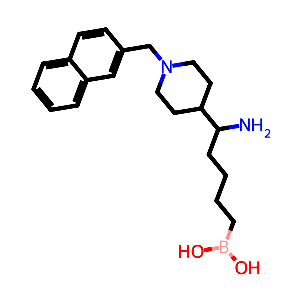 NC(CCCCB(O)O)C1CCN(Cc2ccc3ccccc3c2)CC1